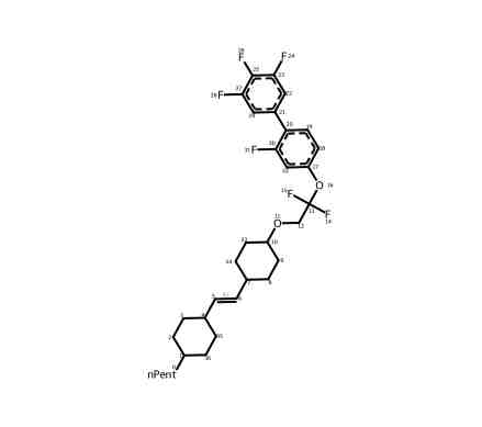 CCCCCC1CCC(/C=C/C2CCC(OCC(F)(F)Oc3ccc(-c4cc(F)c(F)c(F)c4)c(F)c3)CC2)CC1